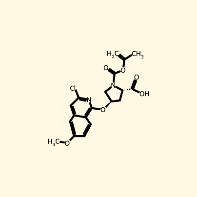 C=C(C)OC(=O)N1C[C@H](Oc2nc(Cl)cc3cc(OC)ccc23)C[C@H]1C(=O)O